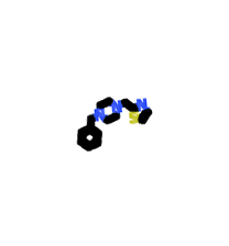 c1ccc(CN2CCN(Cc3nccs3)CC2)cc1